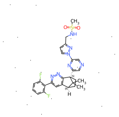 CC1(C)[C@H]2CC[C@]1(c1cncc(-n3ccc(CNS(C)(=O)=O)n3)n1)c1nnc(-c3c(F)cccc3F)cc12